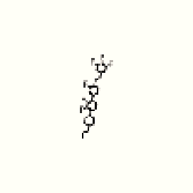 CCCC1CCC(c2ccc(-c3ccc(CCc4cc(F)c(F)c(F)c4)c(F)c3)c(F)c2F)CC1